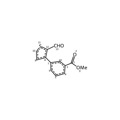 COC(=O)c1cccc(-c2ccsc2C=O)c1